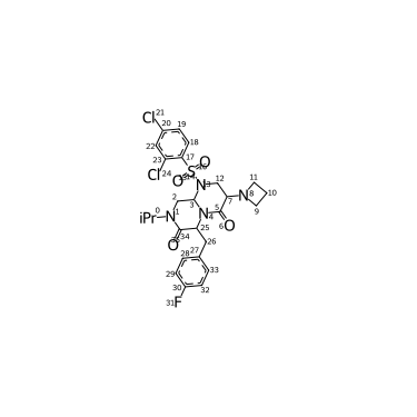 CC(C)N1CC2N(C(=O)C(N3CCC3)CN2S(=O)(=O)c2ccc(Cl)cc2Cl)C(Cc2ccc(F)cc2)C1=O